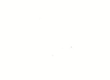 CCCCCS(=O)(=O)N[C@@H](C)C(=O)O